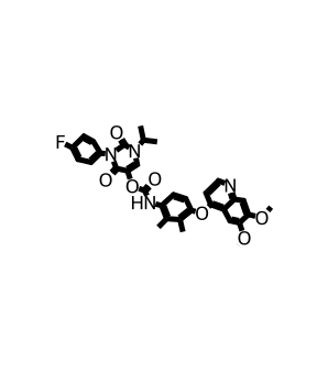 COc1cc2nccc(Oc3ccc(NC(=O)Oc4cn(C(C)C)c(=O)n(-c5ccc(F)cc5)c4=O)c(C)c3C)c2cc1OC